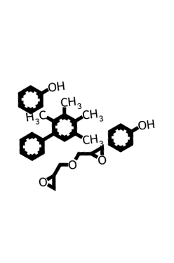 C(OCC1CO1)C1CO1.Cc1cc(-c2ccccc2)c(C)c(C)c1C.Oc1ccccc1.Oc1ccccc1